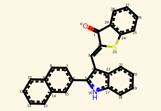 O=C1C(=Cc2c(-c3ccc4ccccc4c3)[nH]c3ccccc23)Sc2ccccc21